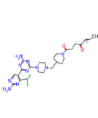 C/C=C/C(=O)CCC(=O)N1CCC(CN2CCN(c3nc(N)nc(-c4cnc(N)nc4C(F)F)n3)CC2)CC1